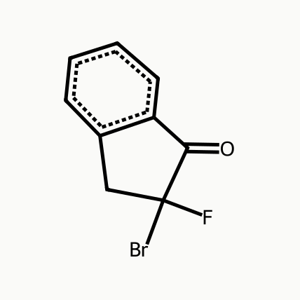 O=C1c2ccccc2CC1(F)Br